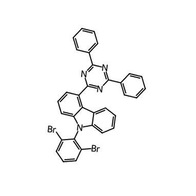 Brc1cccc(Br)c1-n1c2ccccc2c2c(-c3nc(-c4ccccc4)nc(-c4ccccc4)n3)cccc21